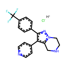 FC(F)(F)c1ccc(-c2nn3c(c2-c2ccncc2)CNCC3)cc1.[Cl-].[H+]